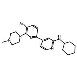 CC(=O)c1ccc(-c2ccnc(NC3CCCCC3)c2)nc1N1CCN(C)CC1